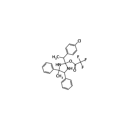 CC(c1ccc(Cl)cc1)C1(OC(=O)C(F)(F)F)NC(c2ccccc2)C(C)(c2ccccc2)N1